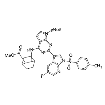 CCCCCCCCCn1ccc2c(NC3C4CCC(CC4)C3C(=O)OC)nc(-c3cn(S(=O)(=O)c4ccc(C)cc4)c4ncc(F)cc34)nc21